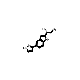 CC(C)C[C@@H](N)c1cc2cc(-c3cc[nH]n3)ccc2[nH]1